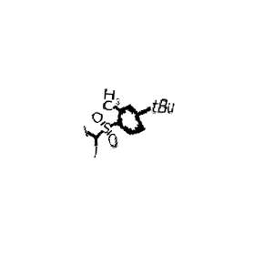 Cc1cc(C(C)(C)C)ccc1S(=O)(=O)C(I)I